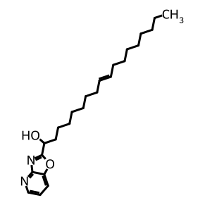 CCCCCCCC/C=C/CCCCCCCC(O)c1nc2ncccc2o1